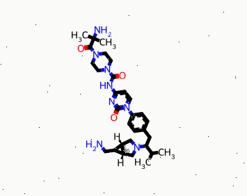 CC(C)C(Cc1ccc(-n2ccc(NC(=O)N3CCN(C(=O)C(C)(C)N)CC3)nc2=O)cc1)N1C[C@@H]2C(CN)[C@@H]2C1